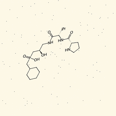 CC(C)[C@H](NC(=O)[C@@H]1CCCN1)C(=O)NC[C@@H](O)CP(=O)(O)CC1CCCCC1